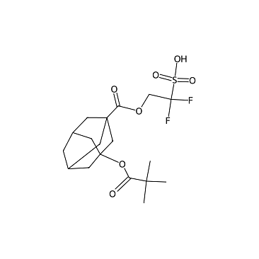 CC(C)(C)C(=O)OC12CC3CC(C1)CC(C(=O)OCC(F)(F)S(=O)(=O)O)(C3)C2